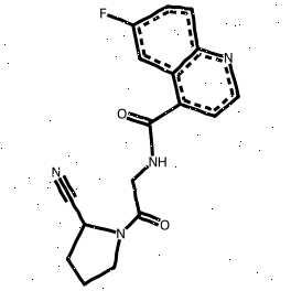 N#CC1CCCN1C(=O)CNC(=O)c1ccnc2ccc(F)cc12